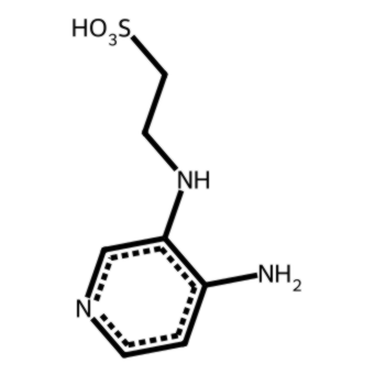 Nc1ccncc1NCCS(=O)(=O)O